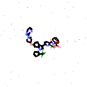 O=C(NC1(C(=O)O)C2CCC3CC(C2)CC1C3)c1ccc(-c2cn(-c3ccccc3C(F)(F)F)c3cc(OC4CCN(c5ncccn5)CC4)ccc23)nc1C(F)(F)F